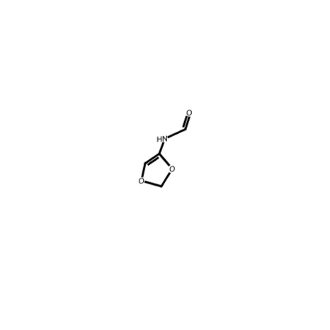 O=CNC1=COCO1